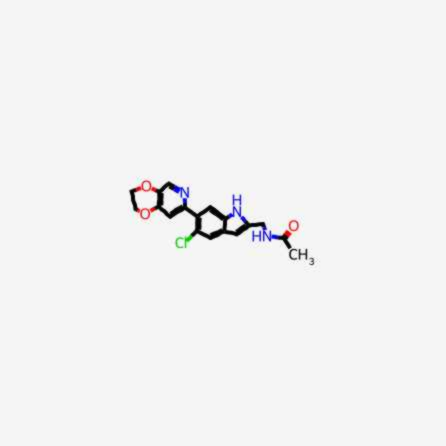 CC(=O)NCc1cc2cc(Cl)c(-c3cc4c(cn3)OCCO4)cc2[nH]1